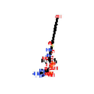 CC(C)(COP(=O)(O)OP(=O)(O)OC[C@H]1O[C@@H](n2cnc3c(N)ncnc32)[C@H](O)[C@@H]1OP(=O)(O)O)[C@@H](O)C(=O)NCCC(=O)NCCSC(=O)C=CCCCCCCCCCCCCCCCO